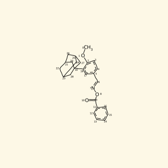 COc1ccc(C=NOC(=O)c2ccccc2)cc1C12CC3CC(CC(C3)C1)C2